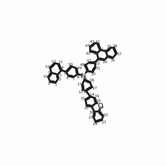 c1ccc2c(-c3ccc(N(c4ccc(-c5ccc6c(c5)oc5ccccc56)cc4)c4ccc(-c5cc6ccccc6c6ccccc56)cc4)cc3)cccc2c1